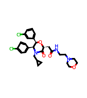 O=C(C[C@H]1O[C@H](c2cccc(Cl)c2)[C@H](c2ccc(Cl)cc2)N(CC2CC2)C1=O)NCCN1CCOCC1